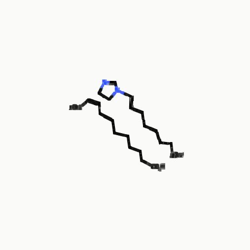 CCCCCCCC/C=C\CCCCCCCC(=O)O.CCCCCCCCCCCCCCCC=CN1C=NCC1